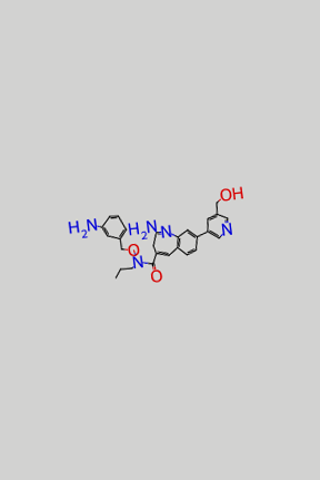 CCCN(OCc1cccc(N)c1)C(=O)C1=Cc2ccc(-c3cncc(CO)c3)cc2N=C(N)C1